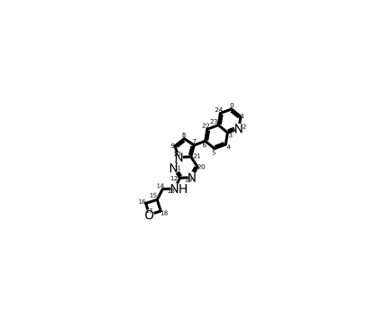 c1cnc2ccc(-c3ccn4nc(NCC5COC5)ncc34)cc2c1